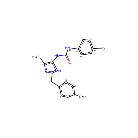 COc1ccc(Cc2nc(C(=O)O)c(NC(=O)Nc3ccc(C(C)C)cc3)[nH]2)cc1